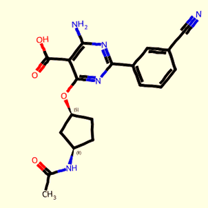 CC(=O)N[C@@H]1CC[C@H](Oc2nc(-c3cccc(C#N)c3)nc(N)c2C(=O)O)C1